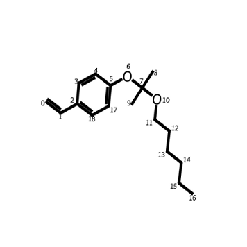 C=Cc1ccc(OC(C)(C)OCCCCCC)cc1